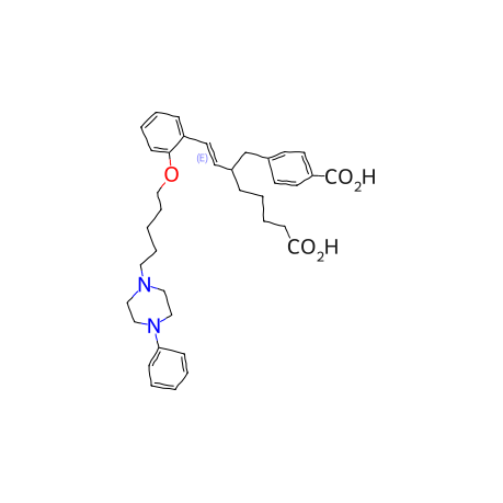 O=C(O)CCCCC(/C=C/c1ccccc1OCCCCCN1CCN(c2ccccc2)CC1)Cc1ccc(C(=O)O)cc1